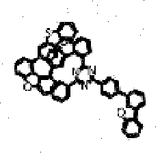 c1ccc(-c2nc(-c3ccc(-c4cccc5c4oc4ccccc45)cc3)nc(-c3cccc4oc5ccc(-c6cccc7oc8cccc(-c9ccc%10c(c9)sc9ccccc9%10)c8c67)cc5c34)n2)cc1